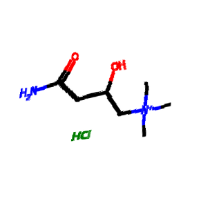 C[N+](C)(C)CC(O)CC(N)=O.Cl